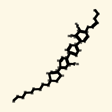 CCC/C=C\Cc1ccc(-c2ccc(-c3ccc(C4=CCC(CCCCCCCCC)CC4)cc3F)cc2)c(F)c1F